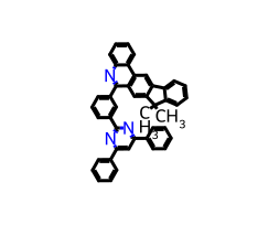 CC1(C)c2ccccc2-c2cc3c(cc21)c(-c1cccc(-c2nc(-c4ccccc4)cc(-c4ccccc4)n2)c1)nc1ccccc13